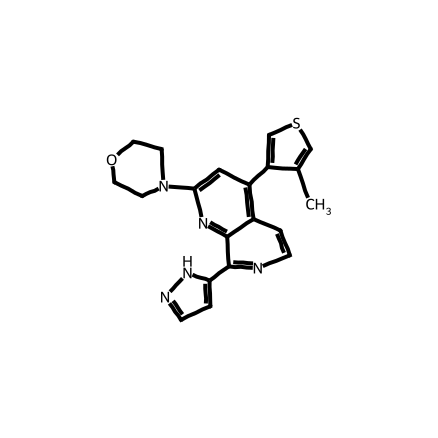 Cc1cscc1-c1cc(N2CCOCC2)nc2c(-c3ccn[nH]3)nccc12